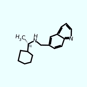 C[C@H](NCc1ccc2ncccc2c1)C1CCCCC1